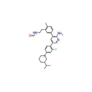 Cc1ccc(-c2cc(-c3ccc(N4CCCC(C(C)C)C4)cc3F)cnc2N)cc1CCNC=O